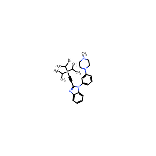 CC(C)[Si](C#Cc1nc2ccccc2n1-c1cccc(N2CCN(C)CC2)c1)(C(C)C)C(C)C